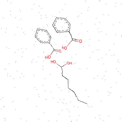 CCCCCCC(O)O.O=C(O)c1ccccc1.O=C(O)c1ccccc1